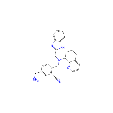 N#Cc1cc(CN)ccc1CN(Cc1nc2ccccc2[nH]1)C1CCCc2cccnc21